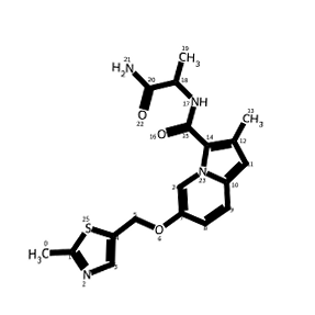 Cc1ncc(COc2ccc3cc(C)c(C(=O)NC(C)C(N)=O)n3c2)s1